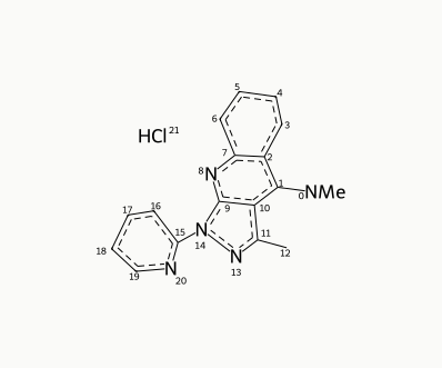 CNc1c2ccccc2nc2c1c(C)nn2-c1ccccn1.Cl